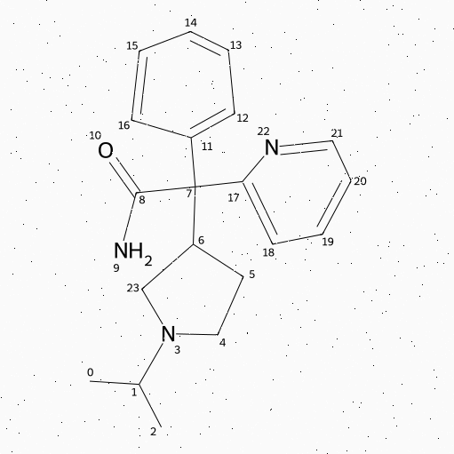 CC(C)N1CCC(C(C(N)=O)(c2ccccc2)c2ccccn2)C1